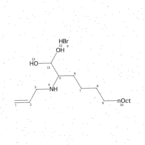 Br.C=CCNC(CCCCCCCCCCCC)C(O)O